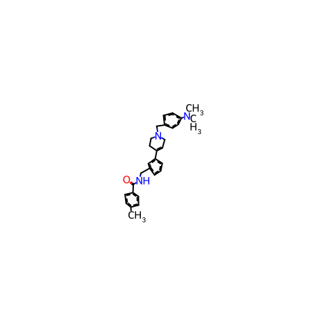 Cc1ccc(C(=O)NCc2cccc(C3=CCN(Cc4ccc(N(C)C)cc4)CC3)c2)cc1